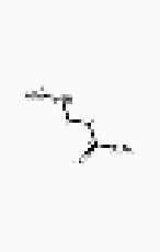 CCCCNCCC(=O)OC(C)=O